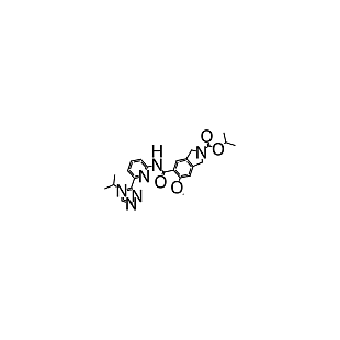 COc1cc2c(cc1C(=O)Nc1cccc(-c3nncn3C(C)C)n1)CN(C(=O)OC(C)C)C2